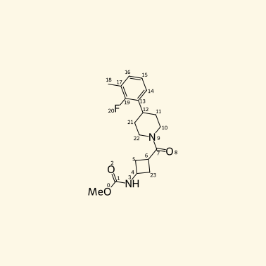 COC(=O)NC1CC(C(=O)N2CCC(c3cccc(C)c3F)CC2)C1